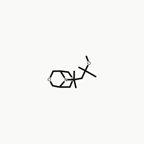 COC(C)(C)CC(C)(C)N1C2COCC1COC2